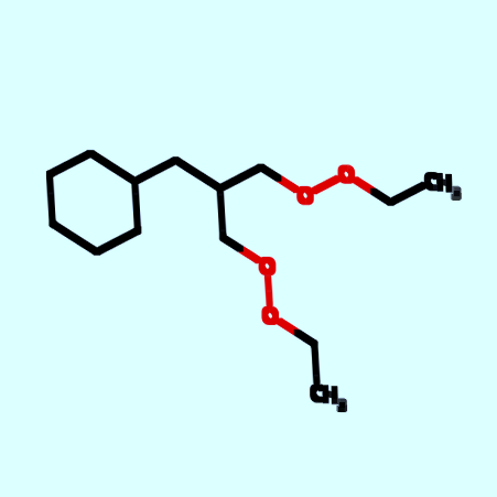 CCOOCC(COOCC)CC1CCCCC1